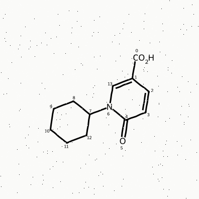 O=C(O)c1ccc(=O)n(C2CCCCC2)c1